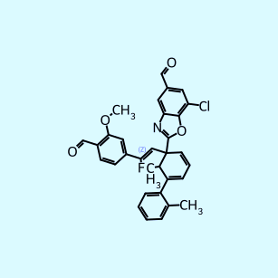 COc1cc(/C(F)=C/C2(c3nc4cc(C=O)cc(Cl)c4o3)C=CC=C(c3ccccc3C)C2C)ccc1C=O